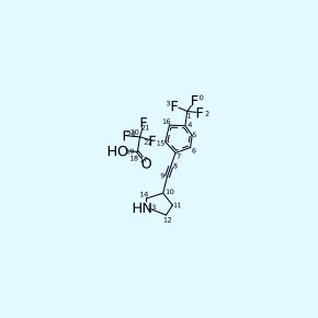 FC(F)(F)c1ccc(C#CC2CCNC2)cc1.O=C(O)C(F)(F)F